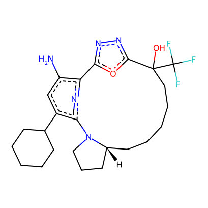 Nc1cc(C2CCCCC2)c2nc1-c1nnc(o1)C(O)(C(F)(F)F)CCCCC[C@@H]1CCCN21